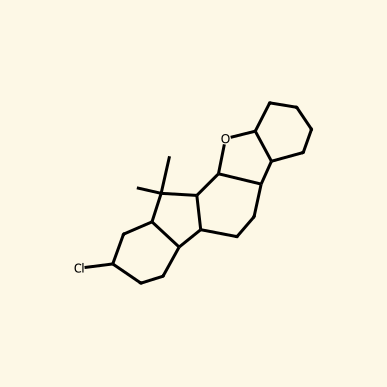 CC1(C)C2CC(Cl)CCC2C2CCC3C4CCCCC4OC3C21